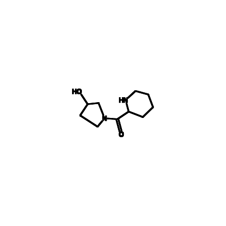 O=C(C1CCCCN1)N1CCC(O)C1